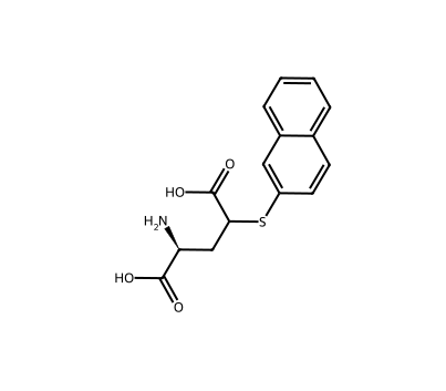 N[C@@H](CC(Sc1ccc2ccccc2c1)C(=O)O)C(=O)O